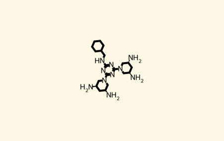 N[C@@H]1C[C@H](N)CN(c2nc(NCC3CCCCC3)nc(N3C[C@H](N)C[C@H](N)C3)n2)C1